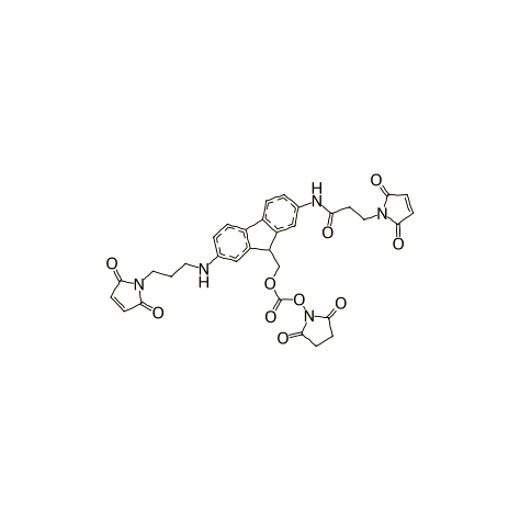 O=C(CCN1C(=O)C=CC1=O)Nc1ccc2c(c1)C(COC(=O)ON1C(=O)CCC1=O)c1cc(NCCCN3C(=O)C=CC3=O)ccc1-2